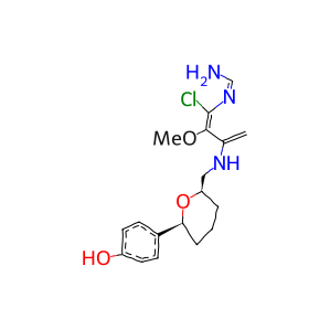 C=C(NC[C@H]1CCC[C@@H](c2ccc(O)cc2)O1)/C(OC)=C(Cl)\N=C/N